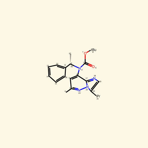 Cc1cc(N(C(=O)OC(C)(C)C)[C@@H](C)c2ccccc2)c2ncc(C(C)C)n2n1